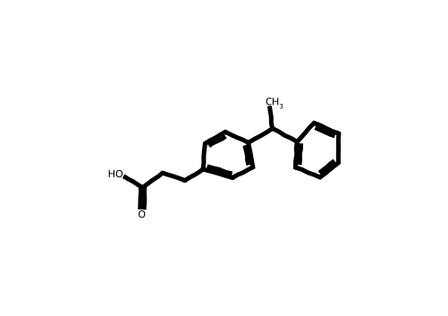 CC(c1ccccc1)c1ccc(CCC(=O)O)cc1